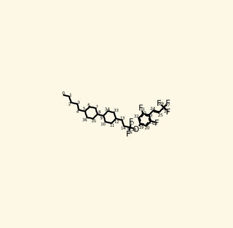 CCCCCC1CCC(C2CCC(CCC(F)(F)Oc3cc(F)c(/C=C/C(F)(F)F)c(F)c3)CC2)CC1